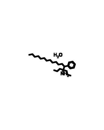 CCCCCCCCCCCCC(c1ccccc1)C(N)(CCC)CCC.O